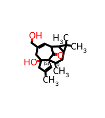 CC1=C[C@]23C(=O)C(C=C(CO)CC2(O)C1)C1C(C[C@H]3C)C1(C)C